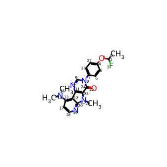 CC(F)Oc1ccc(-n2cnc3c4c(N(C)C)ccnc4n(C)c3c2=O)cc1